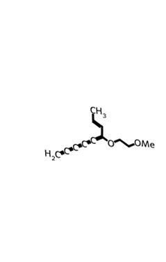 C=C=C=C=C=C(C=CC)OCCOC